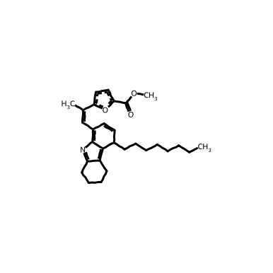 CCCCCCCCC1C=CC(C=C(C)c2ccc(C(=O)OC)o2)=C2N=C3CCCCC3=C21